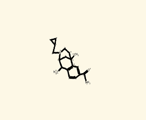 CC1c2ccc(C(N)=O)cc2C2(C)CCN(CC3CC3)C1C2